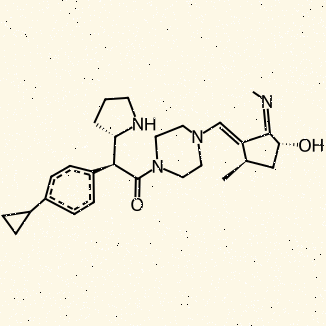 C/N=C1\C(=C\N2CCN(C(=O)[C@@H](c3ccc(C4CC4)cc3)[C@@H]3CCCN3)CC2)[C@H](C)C[C@H]1O